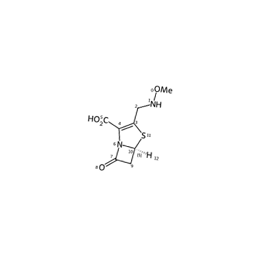 CONCC1=C(C(=O)O)N2C(=O)C[C@@H]2S1